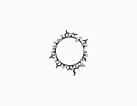 C/C=C/C[C@@H](C)C(O)[C@H]1C(=O)NC(CC)C(=O)N(C)CC(=O)N(C)[C@@H](CC(C)C)C(=O)N[C@@H](C(C)C)C(=O)N(C)C(CC(C)C)C(=O)N[C@@H](C)C(=O)NC(C)C(=O)N(C)[C@@H](CC(C)C)C(=O)N(C)C(CC(C)C)C(=O)N(C)C(C(C)C)C(=O)N1C